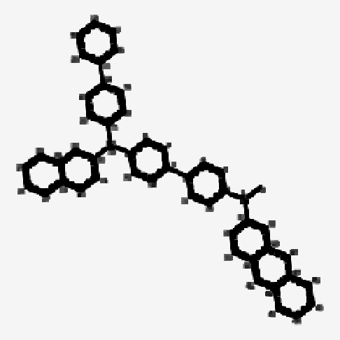 CN(c1ccc(-c2ccc(N(c3ccc(-c4ccccc4)cc3)c3ccc4ccccc4c3)cc2)cc1)c1ccc2cc3ccccc3cc2c1